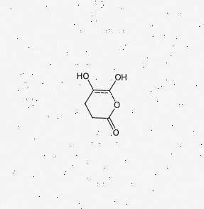 O=C1CCC(O)=C(O)O1